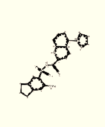 COc1cc2c(cc1S(=O)(=O)NC(=O)c1ccc3c(-n4cccn4)cccc3n1)CCC2